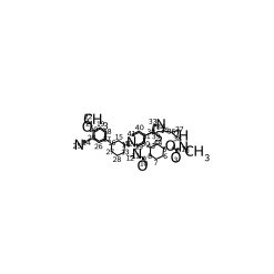 CNC(=O)O[C@H]1CC[C@H](C(=O)N(C[C@H]2CC[C@H](c3ccc(OC)c(C#N)c3)CC2)c2cc(-c3cnc(C4CC4)s3)ccn2)CC1